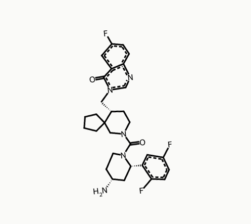 N[C@@H]1CCN(C(=O)N2CC[C@@H](Cn3cnc4ccc(F)cc4c3=O)C3(CCCC3)C2)[C@H](c2cc(F)ccc2F)C1